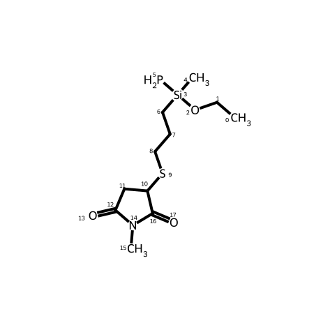 CCO[Si](C)(P)CCCSC1CC(=O)N(C)C1=O